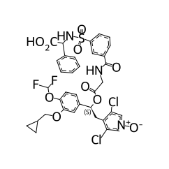 O=C(CNC(=O)c1cccc(S(=O)(=O)NC(C(=O)O)c2ccccc2)c1)O[C@@H](Cc1c(Cl)c[n+]([O-])cc1Cl)c1ccc(OC(F)F)c(OCC2CC2)c1